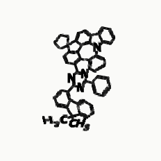 CC1(C)c2ccccc2-c2c(-c3nc(-c4ccccc4)nc(-c4ccc5c6c4-c4ccccc4-n4c7ccccc7c7ccc(c-6c74)C54CCCC4)n3)cccc21